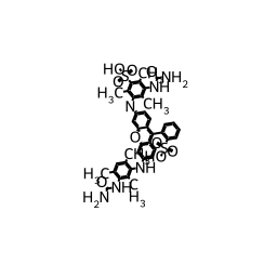 Cc1cc(C)c(Nc2ccc3c(-c4ccccc4S(=O)(=O)O)c4cc/c(=N\c5c(C)c(NC(N)=O)c(C)c(S(=O)(=O)O)c5C)cc-4oc3c2)c(C)c1NC(N)=O